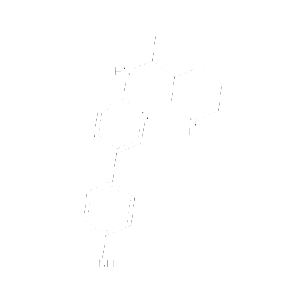 CC(Nc1ccc(-c2ccc(N)cc2)cn1)C1CNCCO1